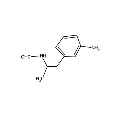 CC(Cc1cccc(N)c1)NC=O